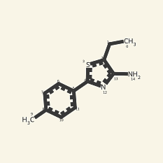 CCc1sc(-c2ccc(C)cc2)nc1N